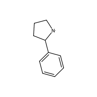 c1ccc(C2CCC[N]2)cc1